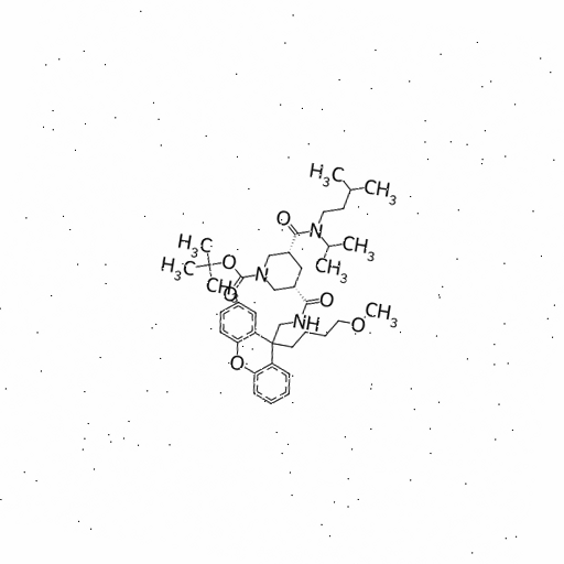 COCCCCC1(CNC(=O)[C@H]2C[C@@H](C(=O)N(CCC(C)C)C(C)C)CN(C(=O)OC(C)(C)C)C2)c2ccccc2Oc2ccccc21